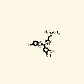 CCc1ccc2nc(C(c3ccc(O)c(O)c3)n3cc(CCN(C)C)nn3)oc2c1